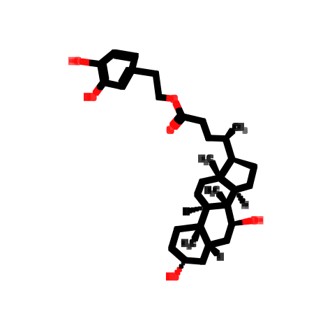 C[C@H](CCC(=O)OCCc1ccc(O)c(O)c1)[C@H]1CC[C@@H]2[C@]1(C)CC[C@@H]1[C@@]3(C)CC[C@@H](O)C[C@H]3C[C@H](O)[C@]12C